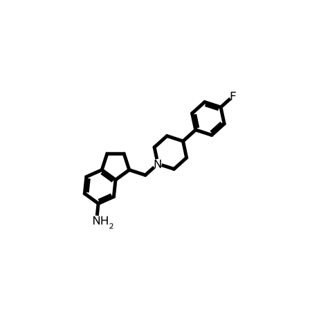 Nc1ccc2c(c1)C(CN1CCC(c3ccc(F)cc3)CC1)CC2